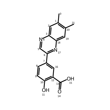 Cc1cc2ncc(-c3ccc(O)c(C(=O)O)c3)nc2cc1C